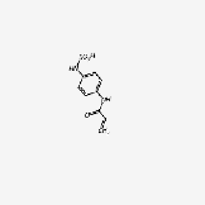 C=CC(=O)Nc1ccc(NS(=O)(=O)O)cc1